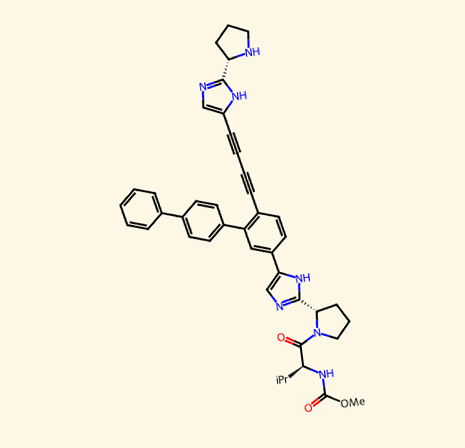 COC(=O)N[C@H](C(=O)N1CCC[C@H]1c1ncc(-c2ccc(C#CC#Cc3cnc([C@@H]4CCCN4)[nH]3)c(-c3ccc(-c4ccccc4)cc3)c2)[nH]1)C(C)C